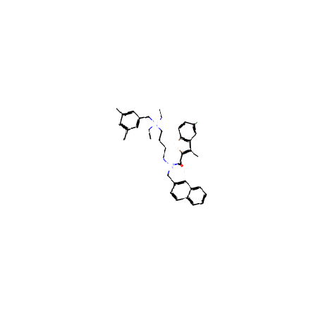 CC[N+](CC)(CCCCN(Cc1ccc2ccccc2c1)C(=O)c1sc2ccc(Cl)cc2c1C)Cc1cc(C)cc(C)c1